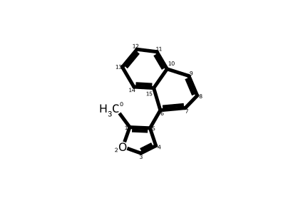 Cc1occc1-c1cccc2ccccc12